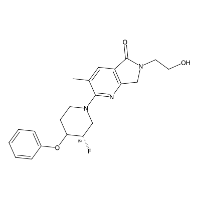 Cc1cc2c(nc1N1CCC(Oc3ccccc3)[C@@H](F)C1)CN(CCO)C2=O